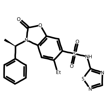 CCc1cc2c(cc1S(=O)(=O)Nc1ncns1)oc(=O)n2[C@H](C)c1ccccc1